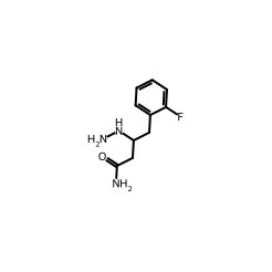 NNC(CC(N)=O)Cc1ccccc1F